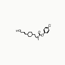 CN(CCC1CCC(C=CCO)CC1)C(=O)Oc1ccc(Cl)cc1